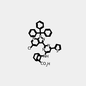 O=C(O)C1C2CCC(CC2)C1Nc1cc(-c2cccs2)nc(-c2nn(C(c3ccccc3)(c3ccccc3)c3ccccc3)c3ncc(Cl)cc23)n1